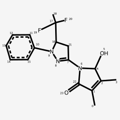 CC1=C(C)C(O)N(C2=NN(c3ccccc3)C(C(C)(F)F)C2)C1=O